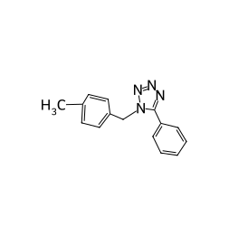 Cc1ccc(Cn2nnnc2-c2ccccc2)cc1